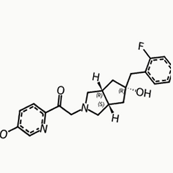 O=C(CN1C[C@@H]2C[C@@](O)(Cc3ccccc3F)C[C@@H]2C1)c1ccc(O)cn1